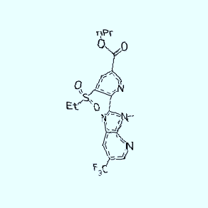 CCCOC(=O)c1cnc(-c2nc3cc(C(F)(F)F)cnc3n2C)c(S(=O)(=O)CC)c1